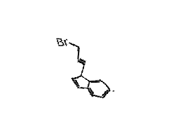 BrCC=CC1C=Cc2cc[c]cc21